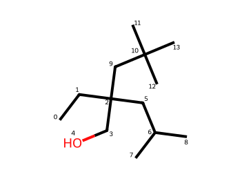 CCC(CO)(CC(C)C)CC(C)(C)C